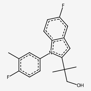 Cc1cc(-n2c(C(C)(C)CO)cc3cc(F)ccc32)ccc1F